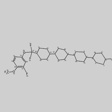 CC1CCC(C2CCC(C3CCC(C4CCC(C(F)(F)Oc5ccc(OC(F)(F)F)c(F)c5)CC4)CC3)CC2)CC1